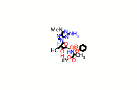 C#C[C@@]1(F)[C@H](O)[C@@H](COP(=O)(N[C@@H](C)C(=O)OC(C)C)Oc2ccccc2)O[C@H]1n1cnc2c(NC)nc(N)nc21